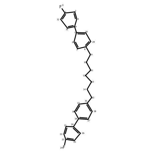 Fc1ccc(-c2ccc(CCCCCCCc3ccc(-c4ccc(F)cc4)cc3)cc2)cc1